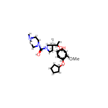 COc1ccc([C@@H]2CN(C(=O)N3CCN(C)CC3)C[C@@]2(C)C(C)O)cc1OC1CCCC1